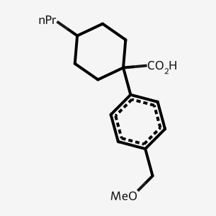 CCCC1CCC(C(=O)O)(c2ccc(COC)cc2)CC1